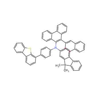 CC1(C)c2ccccc2-c2ccc(N(c3ccc(-c4cccc5c4sc4ccccc45)cc3)c3c(-c4ccc5ccccc5c4)c4ccccc4c4ccccc34)cc21